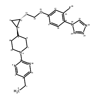 CCc1cnc(N2CCC([C@H]3C[C@@H]3CCOc3ccc(-n4cnnn4)c(F)c3)CC2)nc1